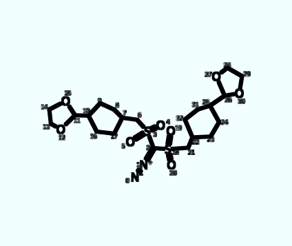 [N-]=[N+]=C(S(=O)(=O)CC1CCC(C2OCCO2)CC1)S(=O)(=O)CC1CCC(C2OCCO2)CC1